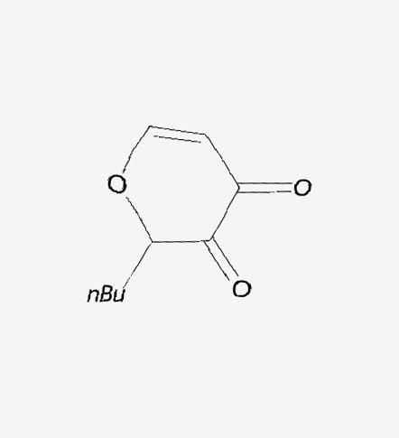 CCCCC1OC=CC(=O)C1=O